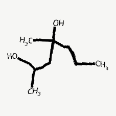 CCCC(C)(O)CC(C)O